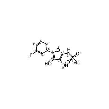 CCS(=O)(=O)Nc1oc(-c2cccc(F)c2)c(O)c1O